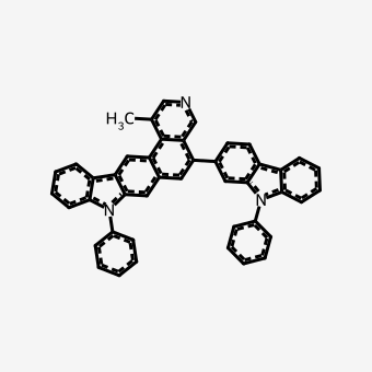 Cc1cncc2c(-c3ccc4c5ccccc5n(-c5ccccc5)c4c3)cc3cc4c(cc3c12)c1ccccc1n4-c1ccccc1